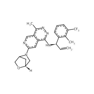 C=C[C@@H](Nc1nnc(C)c2cnc(N3C[C@H]4CC3CO4)cc12)c1cccc(C(F)(F)F)c1C